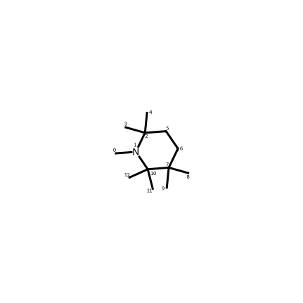 CN1C(C)(C)C[CH]C(C)(C)C1(C)C